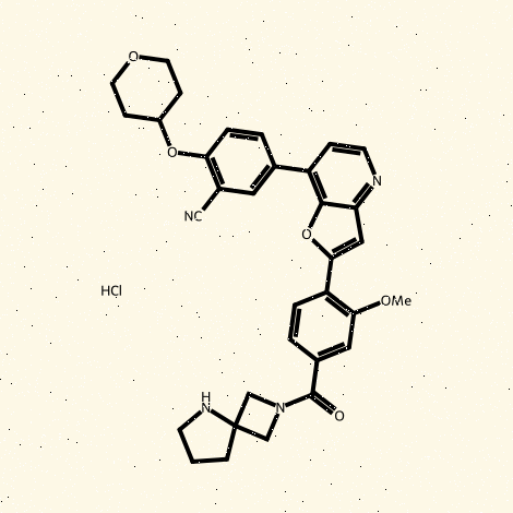 COc1cc(C(=O)N2CC3(CCCN3)C2)ccc1-c1cc2nccc(-c3ccc(OC4CCOCC4)c(C#N)c3)c2o1.Cl